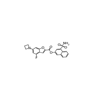 NS(=O)(=O)c1cc(OC(=O)c2cc3c(F)cc(N4CCC4)cc3o2)cc2ccccc12